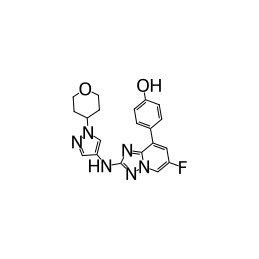 Oc1ccc(-c2cc(F)cn3nc(Nc4cnn(C5CCOCC5)c4)nc23)cc1